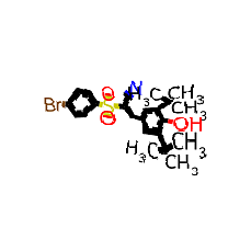 CC(C)(C)c1cc(/C=C(\C#N)S(=O)(=O)c2ccc(Br)cc2)cc(C(C)(C)C)c1O